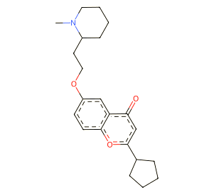 CN1CCCCC1CCOc1ccc2oc(C3CCCC3)cc(=O)c2c1